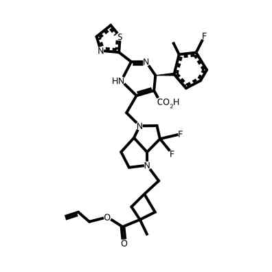 C=CCOC(=O)C1(C)CC(CN2CCC3C2C(F)(F)CN3CC2=C(C(=O)O)[C@H](c3cccc(F)c3C)N=C(c3nccs3)N2)C1